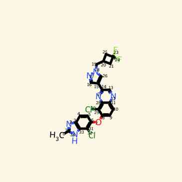 Cc1nc2ccc(Oc3ccc4ncc(-c5cnn(CC6CC(F)(F)C6)c5)nc4c3Cl)c(Cl)c2[nH]1